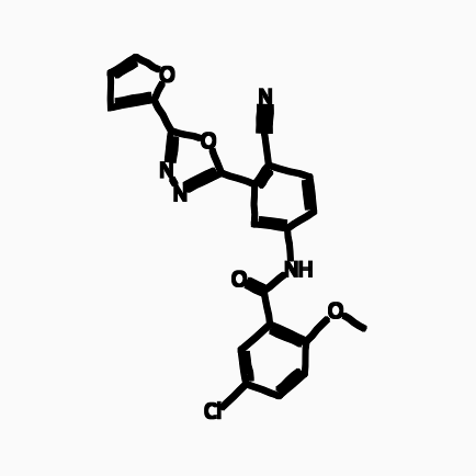 COc1ccc(Cl)cc1C(=O)Nc1ccc(C#N)c(-c2nnc(-c3ccco3)o2)c1